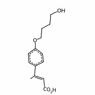 CC(=CC(=O)O)c1ccc(OCCCCO)cc1